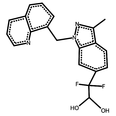 Cc1nn(Cc2cccc3cccnc23)c2cc(C(F)(F)C(O)O)ccc12